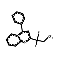 FC(F)(F)CC(F)(F)c1cc(-c2ccccc2)c2ccccc2n1